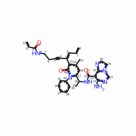 C=C/C=C(/C#CCCNC(=O)C=C)c1c(C)cc(C(C)NC(=O)c2c(N)ncn3ccnc23)n(-c2ccccc2)c1=O